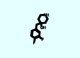 OC1(Cc2ccc(F)c(F)c2)CCNCC1